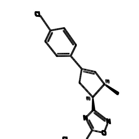 C[C@@H]1C=C(c2ccc(Cl)cc2)C[C@@H]1c1noc(CCl)n1